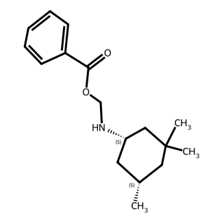 C[C@@H]1C[C@H](NCOC(=O)c2ccccc2)CC(C)(C)C1